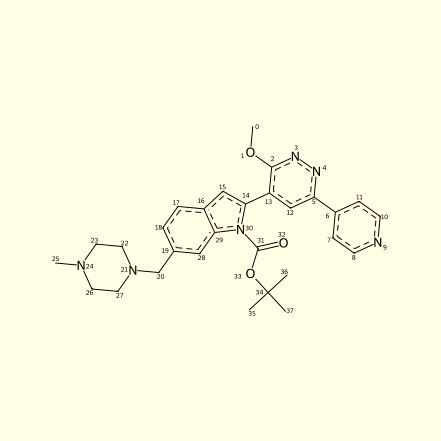 COc1nnc(-c2ccncc2)cc1-c1cc2ccc(CN3CCN(C)CC3)cc2n1C(=O)OC(C)(C)C